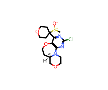 C[S+]([O-])C1(c2nc(Cl)nc3c2OCC[C@@H]2COCCN32)CCOCC1